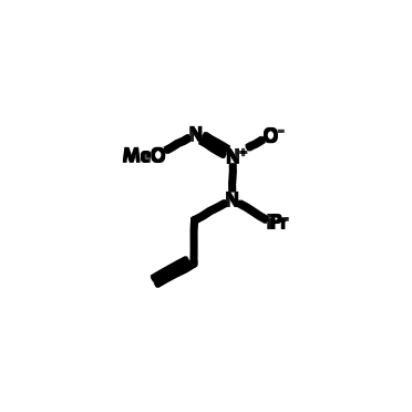 C=CCN(C(C)C)/[N+]([O-])=N\OC